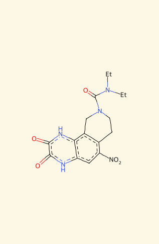 CCN(CC)C(=O)N1CCc2c([N+](=O)[O-])cc3[nH]c(=O)c(=O)[nH]c3c2C1